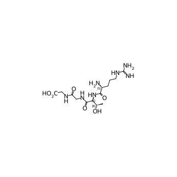 C[C@@H](O)[C@H](NC(=O)[C@@H](N)CCCNC(=N)N)C(=O)NCC(=O)NCC(=O)O